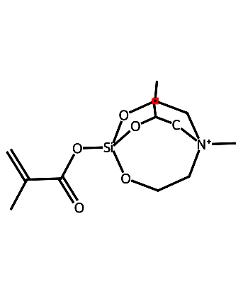 C=C(C)C(=O)O[Si]12OCC[N+](C)(CC(C)O1)CC(C)O2